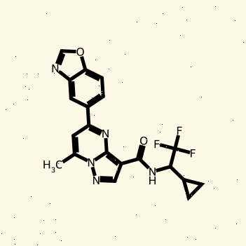 Cc1cc(-c2ccc3ocnc3c2)nc2c(C(=O)NC(C3CC3)C(F)(F)F)cnn12